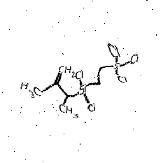 C=C(C)C(C)[Si](Cl)(Cl)CCS(Cl)(Cl)Cl